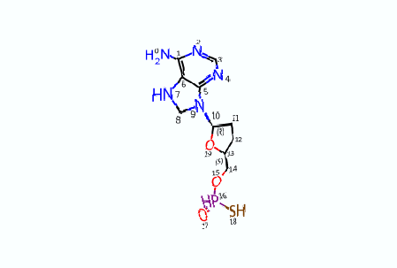 Nc1ncnc2c1NCN2[C@H]1CC[C@@H](CO[PH](=O)S)O1